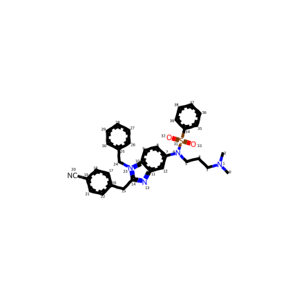 CN(C)CCCN(c1ccc2c(c1)nc(Cc1ccc(C#N)cc1)n2Cc1ccccc1)S(=O)(=O)c1ccccc1